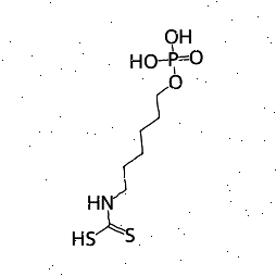 O=P(O)(O)OCCCCCCNC(=S)S